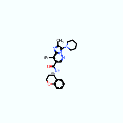 Cc1nc2c(C(C)C)c(C(=O)N[C@H]3CCOc4ccccc43)cnn2c1N1CCCCC1